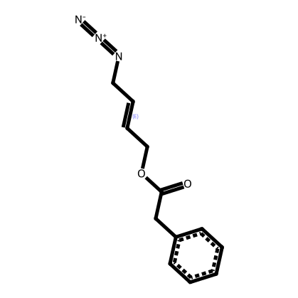 [N-]=[N+]=NC/C=C/COC(=O)Cc1ccccc1